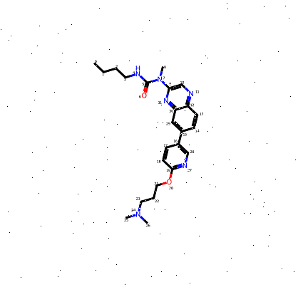 CCCCNC(=O)N(C)c1cnc2ccc(-c3ccc(OCCCN(C)C)nc3)cc2n1